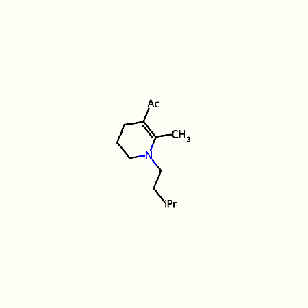 CC(=O)C1=C(C)N(CCC(C)C)CCC1